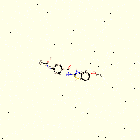 COc1ccc2sc(NC(=O)c3ccc(NC(C)=O)cc3)nc2c1